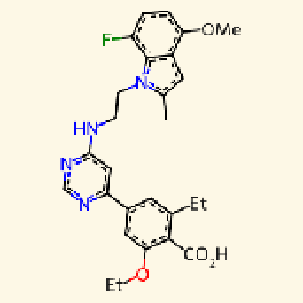 CCOc1cc(-c2cc(NCCn3c(C)cc4c(OC)ccc(F)c43)ncn2)cc(CC)c1C(=O)O